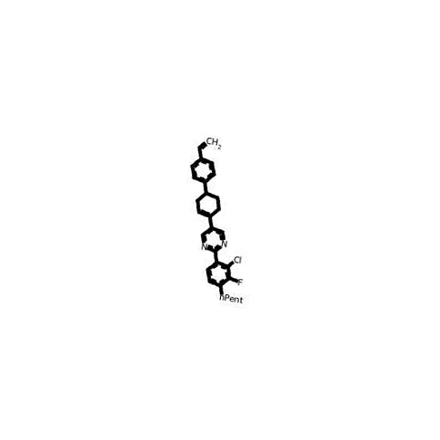 C=Cc1ccc(C2CC=C(c3cnc(-c4ccc(CCCCC)c(F)c4Cl)nc3)CC2)cc1